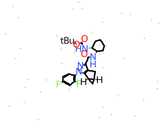 CC(C)(C)OC(=O)N[C@@H]1CCCC[C@H]1NC(=O)c1nn(-c2ccc(F)cc2F)c2c1C[C@H]1C[C@@H]21